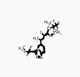 C=N/C(OC(C)(C)C(F)(F)F)=C(F)\C=C(/C)c1ccc2nnc(C(F)(F)OC)n2c1